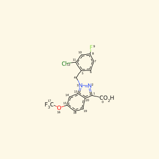 O=C(O)c1nn(Cc2ccc(F)cc2Cl)c2cc(OC(F)(F)F)ccc12